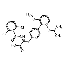 COc1cccc(OC(C)C)c1-c1ccc(C[C@H](NC(=O)c2c(Cl)cccc2Cl)C(=O)O)cc1